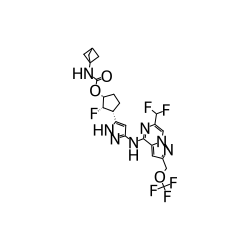 O=C(NC12CC(C1)C2)O[C@@H]1CC[C@H](c2cc(Nc3nc(C(F)F)cn4nc(COC(F)(F)F)cc34)n[nH]2)[C@@H]1F